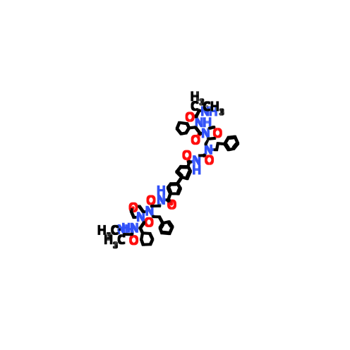 CN[C@@H](C)C(=O)N[C@H](C(=O)N1CCOCC1N(CCc1ccccc1)C(=O)CNC(=O)c1ccc(-c2ccc(C(=O)NCC(=O)N(CCc3ccccc3)C[C@@H]3COCCN3C(=O)[C@@H](NC(=O)[C@H](C)NC)C3CCCCC3)cc2)cc1)C1CCCCC1